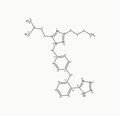 CCCCc1nc(CCC(C)C)n(Cc2ccc(Cc3ccccc3-c3nnn[nH]3)cc2)n1